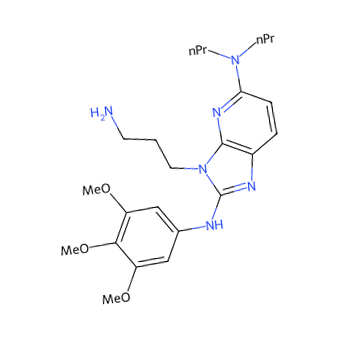 CCCN(CCC)c1ccc2nc(Nc3cc(OC)c(OC)c(OC)c3)n(CCCN)c2n1